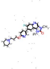 CC(C)n1c(=O)n(C)c2[c]nc3[c]c(F)c(-c4ccc(OCCCN5CCCCC5)nc4)cc3c21